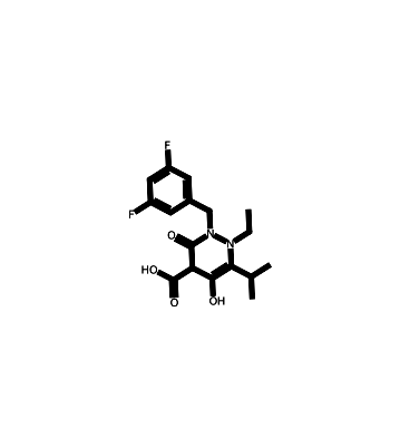 CCN1C(C(C)C)=C(O)C(C(=O)O)C(=O)N1Cc1cc(F)cc(F)c1